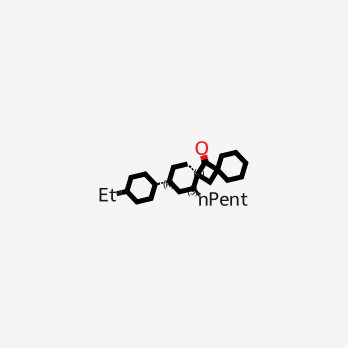 CCCCC[C@H]1C[C@H](C2CCC(CC)CC2)CC[C@]12CC1(CCCCC1)C2=O